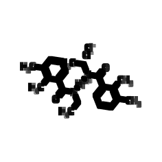 CC[N]([Hf+2][N](CC)C(=O)c1cccc(C)c1C)C(=O)c1cccc(C)c1C.[Cl-].[Cl-]